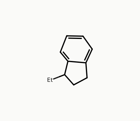 CCC1CCc2ccccc21